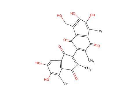 CC1=C(C2=C(C)C(=O)c3c(c(CO)c(O)c(O)c3C(C)C)C2=O)C(=O)c2cc(O)c(O)c(C(C)C)c2C1=O